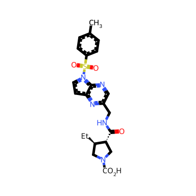 CC[C@@H]1CN(C(=O)O)C[C@H]1C(=O)NCc1cnc2c(ccn2S(=O)(=O)c2ccc(C)cc2)n1